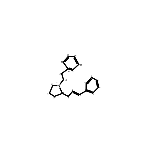 C(=C\c1ccccc1)/CC1CCCN1CCc1ccccc1